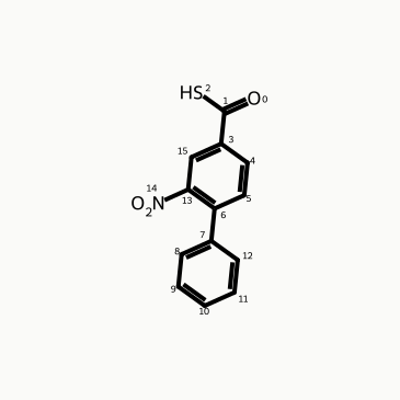 O=C(S)c1ccc(-c2ccccc2)c([N+](=O)[O-])c1